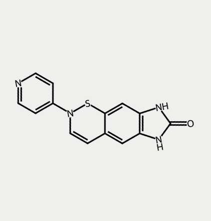 O=c1[nH]c2cc3c(cc2[nH]1)SN(c1ccncc1)C=C3